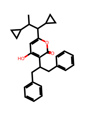 CC(C1CC1)C(c1cc(O)c(C(Cc2ccccc2)Cc2ccccc2)c(=O)o1)C1CC1